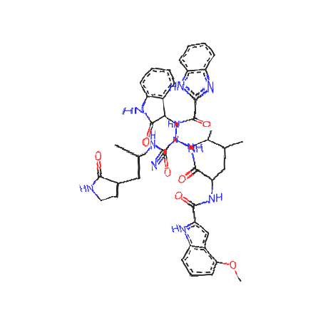 COc1cccc2[nH]c(C(=O)NC(CC(C)C(C)CC(NC(=O)c3nc4ccccc4[nH]3)C(=O)NC(C)CC3CCNC3=O)C(=O)NN(C#N)CC3C(=O)Nc4ccccc43)cc12